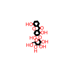 O=c1c2cccc(O)c2oc2cc(O)c(OC3O[C@H](CO)[C@@H](O)[C@H](O)[C@H]3O)c(O)c12